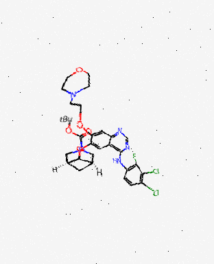 CC(C)(C)OC(=O)N1C[C@H]2C[C@@H](C1)C2Oc1cc2c(Nc3ccc(Cl)c(Cl)c3F)ncnc2cc1OCCN1CCOCC1